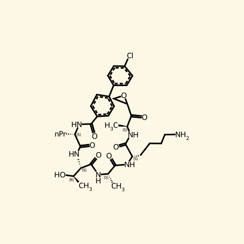 CCC[C@H](NC(=O)c1ccc(-c2ccc(Cl)cc2)cc1)C(=O)N[C@H](C(=O)N[C@@H](C)C(=O)N[C@@H](CCCCN)C(=O)N[C@@H](C)C(=O)C1CO1)[C@@H](C)O